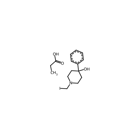 CCC(=O)O.OC1(c2ccccc2)CCN(CI)CC1